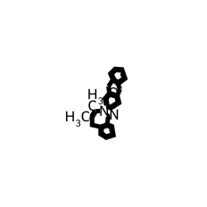 CC1=C(C)n2c(nc3cc4c(cc32)C2OC4c3ccccc32)-c2ccccc2C1